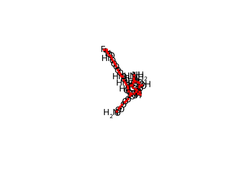 N=C(N)NCCC[C@@H]1CC(=O)[C@@H]2CSSC[C@H](NC(=O)[C@H](CC(=O)O)CC(=O)CNC1=O)C(=O)C[C@@H](Cc1ccccc1)C(=O)N[C@H](C(=O)CCCOCCOCCOCCCC(=O)COCC(N)=O)CSCC(=O)N[C@@H](CCCCNC(=O)COCC(=O)NCCOCCOCCOCCOCCOCCNC(=O)CO/N=C/c1ccc(F)cc1)C(=O)N2